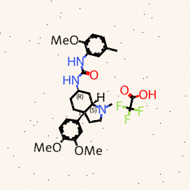 COc1ccc(C)cc1NC(=O)N[C@@H]1CC[C@@]2(c3ccc(OC)c(OC)c3)CCN(C)[C@H]2C1.O=C(O)C(F)(F)F